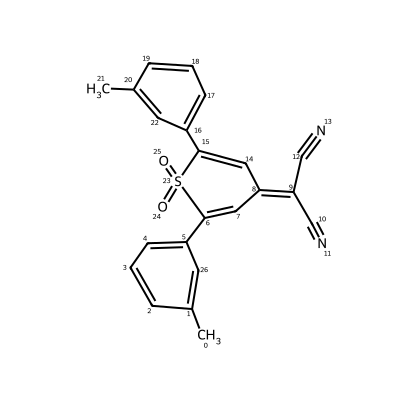 Cc1cccc(C2=CC(=C(C#N)C#N)C=C(c3cccc(C)c3)S2(=O)=O)c1